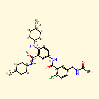 CC(C)(C)C(=O)NCc1ccc(Cl)c(C(=O)Nc2ccc(N[C@H]3CC[C@H](C(F)(F)F)CC3)c(C(=O)NC3CCC(C(F)(F)F)CC3)c2)c1